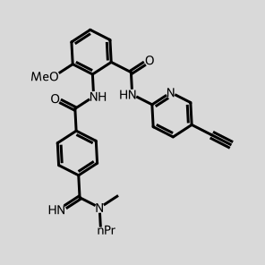 C#Cc1ccc(NC(=O)c2cccc(OC)c2NC(=O)c2ccc(C(=N)N(C)CCC)cc2)nc1